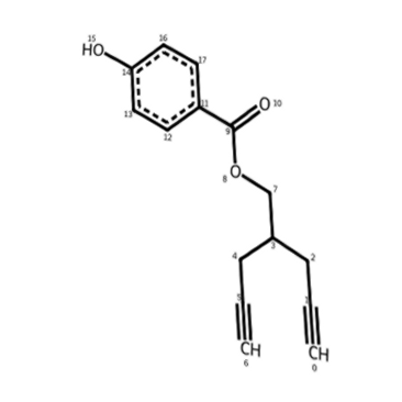 C#CCC(CC#C)COC(=O)c1ccc(O)cc1